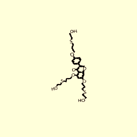 O=c1c(-c2ccc(OCCCSCCO)cc2)coc2cc(OCCCSCCO)cc(OCCCSCCO)c12